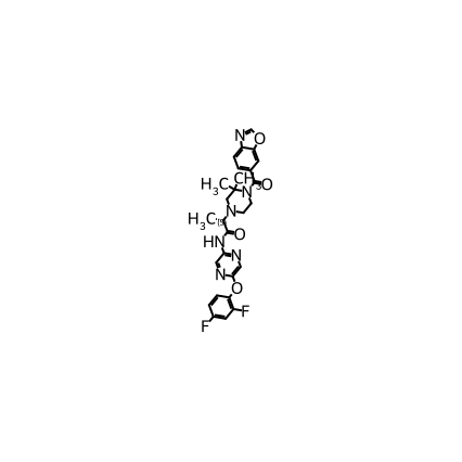 C[C@@H](C(=O)Nc1cnc(Oc2ccc(F)cc2F)cn1)N1CCN(C(=O)c2ccc3ncoc3c2)C(C)(C)C1